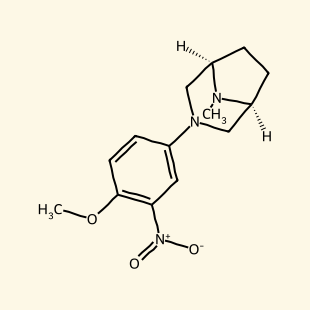 COc1ccc(N2C[C@H]3CC[C@@H](C2)N3C)cc1[N+](=O)[O-]